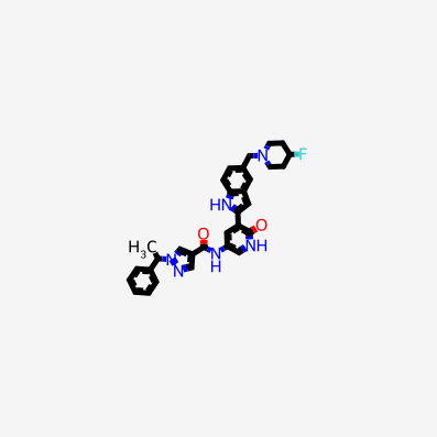 CC(c1ccccc1)n1cc(C(=O)Nc2c[nH]c(=O)c(-c3cc4cc(CN5CCC(F)CC5)ccc4[nH]3)c2)cn1